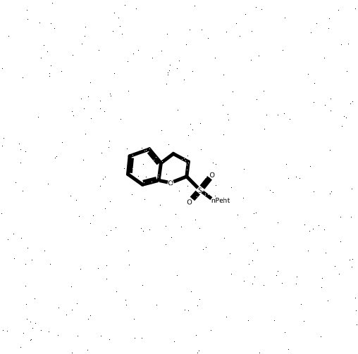 CCCCCS(=O)(=O)C1CCc2ccccc2O1